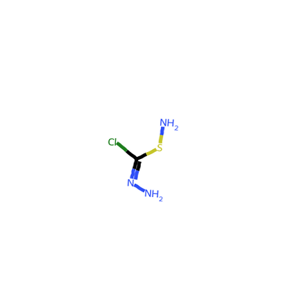 N/N=C(/Cl)SN